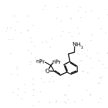 CCCC1(CCC)OC1=Cc1cccc(CCN)c1